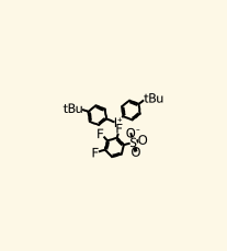 CC(C)(C)c1ccc([I+]c2ccc(C(C)(C)C)cc2)cc1.O=S(=O)([O-])c1ccc(F)c(F)c1F